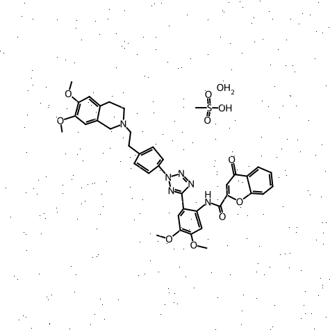 COc1cc2c(cc1OC)CN(CCc1ccc(-n3nnc(-c4cc(OC)c(OC)cc4NC(=O)c4cc(=O)c5ccccc5o4)n3)cc1)CC2.CS(=O)(=O)O.O